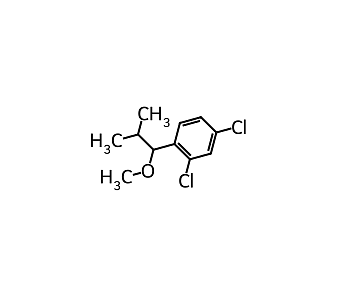 COC(c1ccc(Cl)cc1Cl)C(C)C